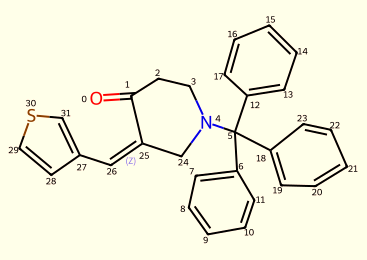 O=C1CCN(C(c2ccccc2)(c2ccccc2)c2ccccc2)C/C1=C/c1ccsc1